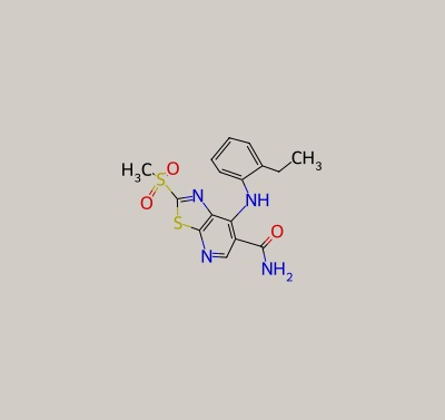 CCc1ccccc1Nc1c(C(N)=O)cnc2sc(S(C)(=O)=O)nc12